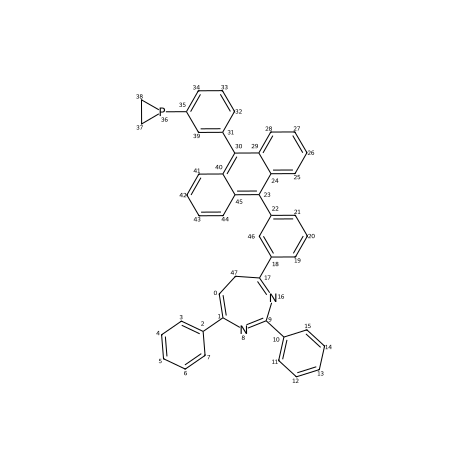 C1=C(c2ccccc2)N=C(c2ccccc2)N=C(c2cccc(-c3c4ccccc4c(-c4cccc(P5CC5)c4)c4ccccc34)c2)C1